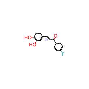 O=C(/C=C/c1ccc(O)c(O)c1)c1ccc(F)cc1